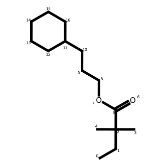 CCC(C)(C)C(=O)OCCCC1CCCCC1